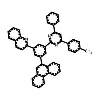 Cc1ccc(-c2cc(-c3ccccc3)nc(-c3cc(-c4ccc5ccccc5n4)cc(-c4cc5ccccc5c5ccccc45)c3)n2)cc1